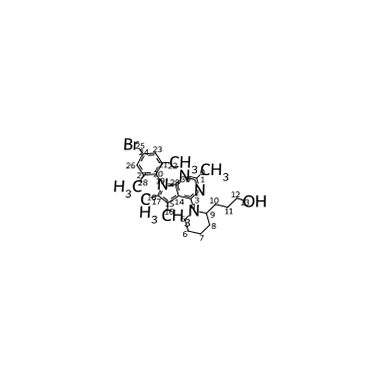 Cc1nc(N2CCCCC2CCCO)c2c(C)c(C)n(-c3c(C)cc(Br)cc3C)c2n1